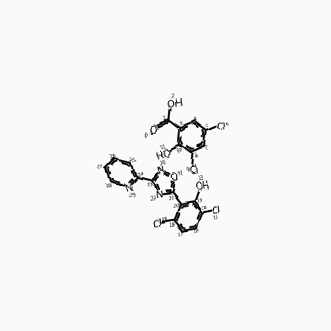 O=C(O)c1cc(Cl)cc(Cl)c1O.Oc1c(Cl)ccc(Cl)c1-c1nc(-c2ccccn2)no1